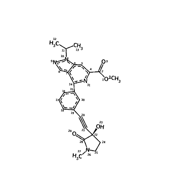 COC(=O)c1cc2c(cnn2C(C)C)c(-c2cccc(C#C[C@]3(O)CCN(C)C3=O)c2)n1